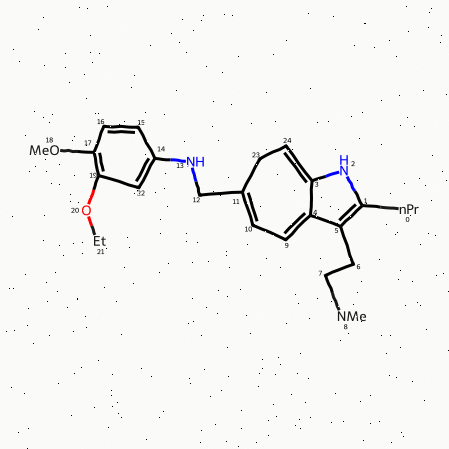 CCCc1[nH]c2c(c1CCNC)=CC=C(CNc1ccc(OC)c(OCC)c1)CC=2